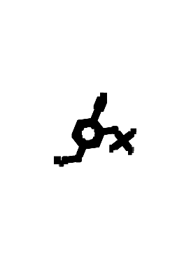 COc1ccc(C#N)c(OC(F)(F)F)c1